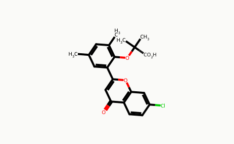 Cc1cc(C)c(OC(C)(C)C(=O)O)c(-c2cc(=O)c3ccc(Cl)cc3o2)c1